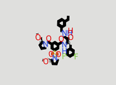 CCc1cccc(CNC[C@@H](O)[C@H](Cc2cc(F)cc(F)c2)NC(=O)c2cc(C(=O)N3CCC[C@H]3COC)cc(S(=O)(=O)N3CCC[C@@H]3COC)c2)c1